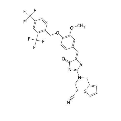 COc1cc(/C=C2/SC(N(CCC#N)Cc3cccs3)=NC2=O)ccc1OCc1ccc(C(F)(F)F)cc1C(F)(F)F